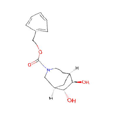 O=C(OCc1ccccc1)N1C[C@H]2C[C@@H](C1)[C@@H](O)[C@@H]2O